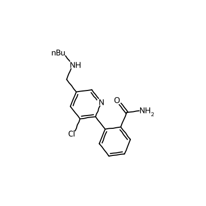 CCCCNCc1cnc(-c2ccccc2C(N)=O)c(Cl)c1